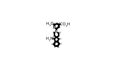 Cc1cc(C(=O)O)cc(N2CCC3(CC2)Cc2ccccc2[C@H]3N)n1